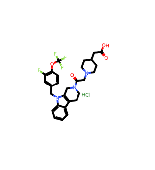 Cl.O=C(O)CC1CCN(CC(=O)N2CCc3c(n(Cc4ccc(OC(F)(F)F)c(F)c4)c4ccccc34)C2)CC1